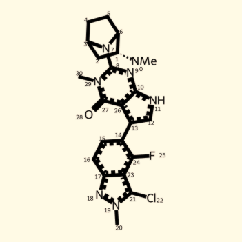 CN[C@@H]1CC2CCC1N2c1nc2[nH]cc(-c3ccc4nn(C)c(Cl)c4c3F)c2c(=O)n1C